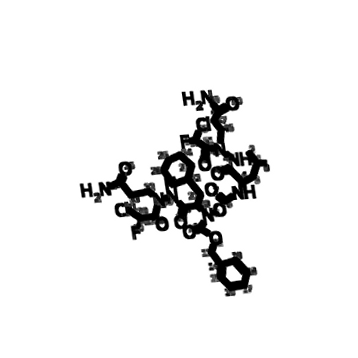 CC(C)CC(NC(=O)ON(C(=O)OCc1ccccc1)C(CC1CCCCC1)C(=O)NN(CCC(N)=O)C(=O)[C@H](F)Cl)C(=O)NN(CCC(N)=O)C(=O)C(F)Cl